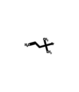 C=CCC(C)(C)Br